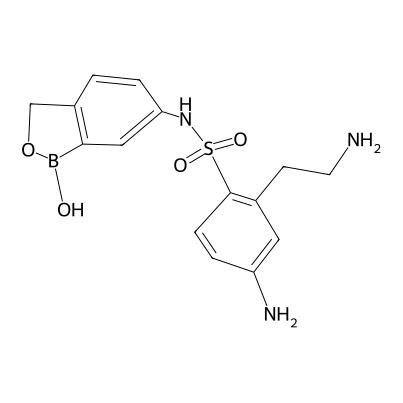 NCCc1cc(N)ccc1S(=O)(=O)Nc1ccc2c(c1)B(O)OC2